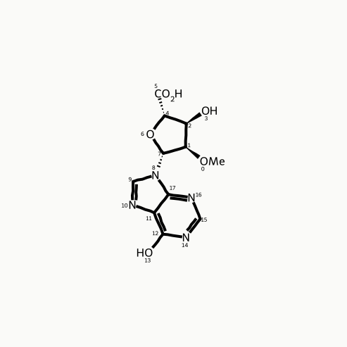 CO[C@@H]1[C@H](O)[C@@H](C(=O)O)O[C@H]1n1cnc2c(O)ncnc21